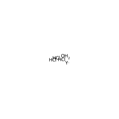 Cl.Cl.Cl.O.[Y]